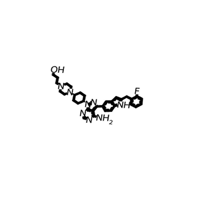 Nc1ncnc2c1c(-c1ccc3[nH]c(Cc4ccccc4F)cc3c1)nn2[C@H]1CC[C@H](N2CCN(CCCO)CC2)CC1